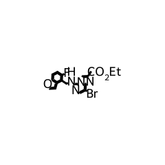 CCOC(=O)c1cn2c(NCc3c(F)ccc4occc34)ncc(Br)c2n1